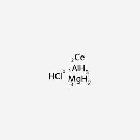 Cl.[AlH3].[Ce].[MgH2]